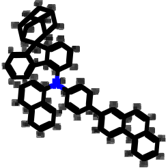 c1ccc2c(c1)-c1c(N(c3ccc(-c4ccc5c(ccc6ccccc65)c4)cc3)c3cccc4ccccc34)cccc1C21C2CC3CC(C2)CC1C3